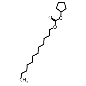 CCCCCCCCCCCCOC(=O)OC1CCCC1